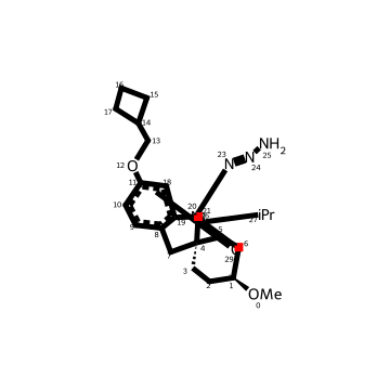 CO[C@H]1CC[C@]2(CC1)Cc1ccc(OCC3CCC3)cc1C21N=C(N=NN)N(C(C)C)C1=O